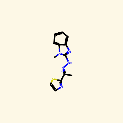 C/C(=N\Nc1nc2ccccc2n1C)c1nccs1